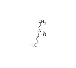 C=CCN(C=O)CC=CCC